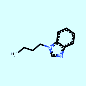 CCCCn1[c]nc2ccccc21